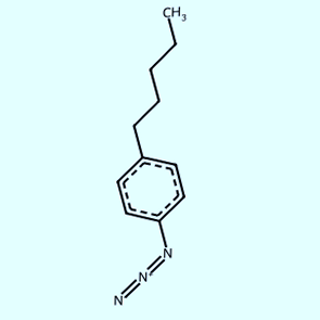 CCCCCc1ccc(N=[N+]=[N-])cc1